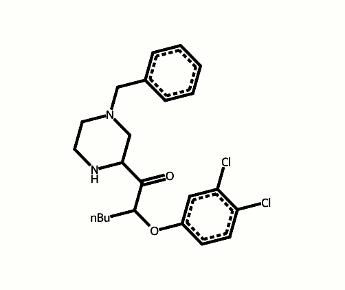 CCCCC(Oc1ccc(Cl)c(Cl)c1)C(=O)C1CN(Cc2ccccc2)CCN1